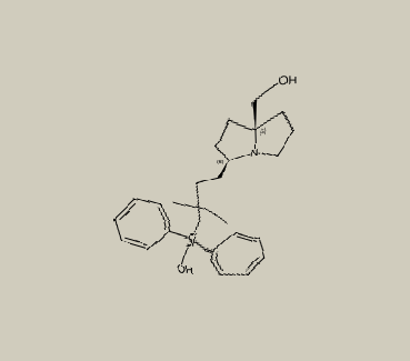 CC(C)(CC[C@H]1CC[C@]2(CO)CCCN12)[Si](O)(c1ccccc1)c1ccccc1